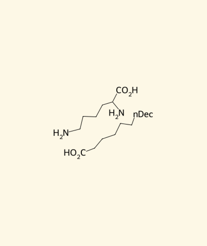 CCCCCCCCCCCCCCCC(=O)O.NCCCCC(N)C(=O)O